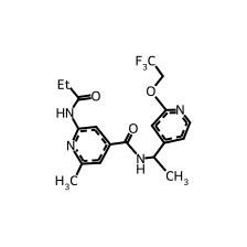 CCC(=O)Nc1cc(C(=O)NC(C)c2ccnc(OCC(F)(F)F)c2)cc(C)n1